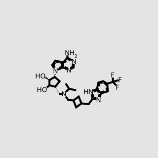 CC(C)N(CC1CC(Cc2nc3cc(C(F)(F)F)ccc3[nH]2)C1)C[C@H]1C[C@@H](n2ccc3c(N)ncnc32)[C@H](O)C1O